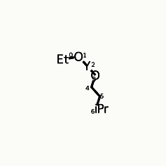 CC[O][Y][O]CCC(C)C